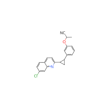 CC(C#N)Oc1cccc(C2CC2c2ccc3ccc(Cl)cc3n2)c1